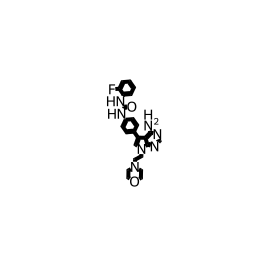 Nc1ncnc2c1c(-c1ccc(NC(=O)Nc3ccccc3F)cc1)cn2CCN1CCOCC1